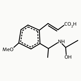 COc1ccc(C=CC(=O)O)c(C(C)NC(C)O)c1